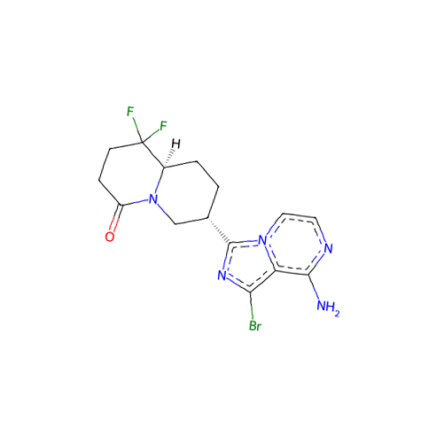 Nc1nccn2c([C@H]3CC[C@H]4N(C3)C(=O)CCC4(F)F)nc(Br)c12